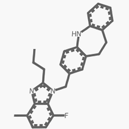 CCCc1nc2c(C)ccc(F)c2n1Cc1ccc2c(c1)CCc1ccccc1N2